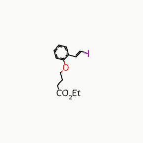 CCOC(=O)CCCOc1ccccc1C=CI